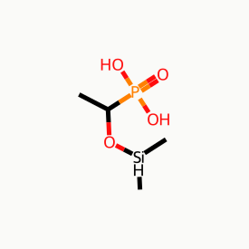 CC(O[SiH](C)C)P(=O)(O)O